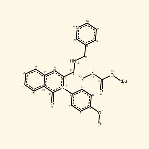 CCOc1ccc(-n2c([C@@H](CNC(=O)OC(C)(C)C)NCc3cccnc3)nc3ccccc3c2=O)cc1